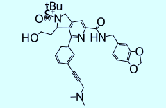 CN(C)CC#Cc1cccc(-c2nc(C(=O)NCc3ccc4c(c3)OCO4)cc3c2C(CCO)N([S@@+]([O-])C(C)(C)C)C3)c1